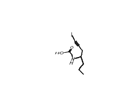 CCCC(CC#CI)NC(=O)O